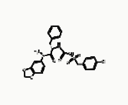 CN(C(=O)[C@H](Cc1ccccc1)NC(=O)NS(=O)(=O)Cc1ccc(Cl)cc1)c1ccc2c(c1)OCO2